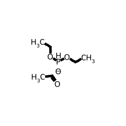 CC=O.CCO[PH](=O)OCC